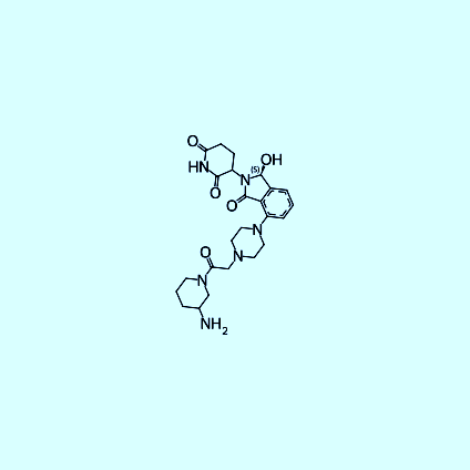 NC1CCCN(C(=O)CN2CCN(c3cccc4c3C(=O)N(C3CCC(=O)NC3=O)[C@H]4O)CC2)C1